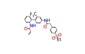 C=CC(=O)Nc1ccccc1-c1ccc(NC(=O)Cc2ccc(S(=O)(=O)CC)cc2)cc1C(F)(F)F